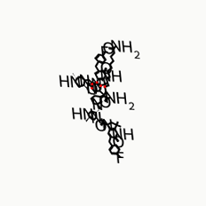 C[C@@H]1CN(CC(=O)N2CC(C)(C)c3[nH]c(=O)c(Cc4ccc(F)cc4)cc32)[C@@H](CN2CCCC(C(CCCCCCCCCCCC(N)=O)(C(N)=O)C3CCCN(C[C@H]4CN[C@H](C)CN4CC(=O)N4CC(C)(C)c5[nH]c(=O)c(Cc6ccc(F)cc6)cc54)C3)C2)CN1